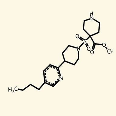 CCCCc1ccc(C2CCN(S(=O)(=O)C3(C(=O)OC)CCNCC3)CC2)nc1